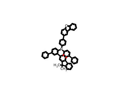 CC1(C)c2ccccc2-c2ccc(-c3cc(-c4ccccc4)ccc3N(c3ccc(-c4ccccc4)cc3)c3ccc(-c4ccc5oc6ccccc6c5c4)cc3)cc21